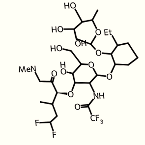 CCC1CCCC(OC2OC(CO)C(O)C(O[C@H](C(=O)CNC)C(C)CC(F)F)C2NC(=O)C(F)(F)F)C1OC1OC(C)C(O)C(O)C1O